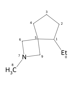 CCC1CCCC12CN(C)C2